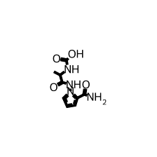 CC(NC(=O)O)C(=O)Nn1cccc1C(N)=O